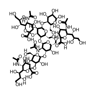 CC(=O)N[C@H]1[C@H](O[C@@H]2[C@H](O[C@]3(C(=O)O)C[C@H](O)[C@@H](NC(C)=O)[C@H]([C@H](O)[C@H](O)CO)O3)[C@@H](O)[C@H](O[C@H]3[C@H](O)[C@@H](O)[C@H](O)O[C@@H]3CO)O[C@@H]2CO)O[C@H](CO[C@]2(C(=O)O)C[C@H](O)[C@@H](NC(C)=O)[C@H]([C@H](O)[C@H](O)CO)O2)[C@H](O)[C@@H]1O[C@@H]1O[C@H](CO)[C@H](O)[C@H](O[C@]2(C(=O)O)C[C@H](O)[C@@H](NC(C)=O)[C@H]([C@H](O)[C@H](O)CO)O2)[C@H]1O